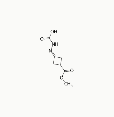 COC(=O)C1CC(=NNC(=O)O)C1